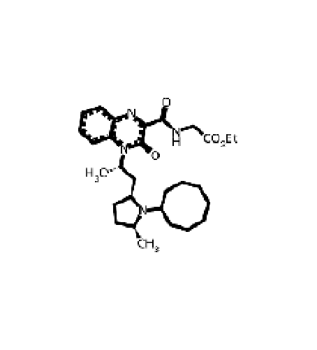 CCOC(=O)CNC(=O)c1nc2ccccc2n([C@@H](C)C[C@@H]2CC[C@H](C)N2C2CCCCCCC2)c1=O